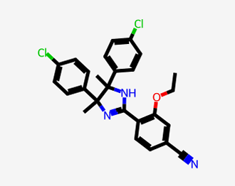 CCOc1cc(C#N)ccc1C1=NC(C)(c2ccc(Cl)cc2)C(C)(c2ccc(Cl)cc2)N1